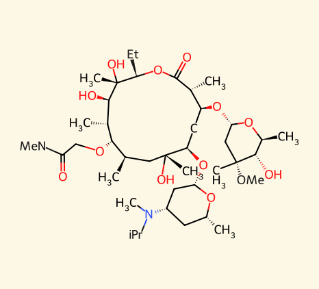 CC[C@H]1OC(=O)[C@H](C)[C@@H](O[C@H]2C[C@@](C)(OC)[C@@H](O)[C@H](C)O2)C[C@@H](O[C@H]2C[C@@H](N(C)C(C)C)C[C@@H](C)O2)[C@](C)(O)C[C@@H](C)[C@H](OCC(=O)NC)[C@H](C)[C@@H](O)[C@]1(C)O